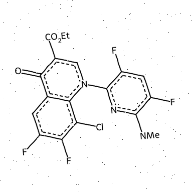 CCOC(=O)c1cn(-c2nc(NC)c(F)cc2F)c2c(Cl)c(F)c(F)cc2c1=O